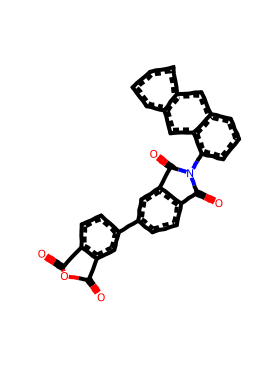 O=C1OC(=O)c2cc(-c3ccc4c(c3)C(=O)N(c3cccc5cc6ccccc6cc35)C4=O)ccc21